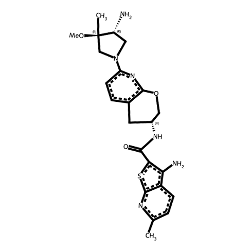 CO[C@]1(C)CN(c2ccc3c(n2)OC[C@H](NC(=O)c2sc4nc(C)ccc4c2N)C3)C[C@H]1N